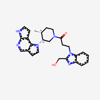 C[C@@H]1CCN(C(=O)CCn2c(CO)nc3ccccc32)C[C@@H]1n1ccc2cnc3[nH]ccc3c21